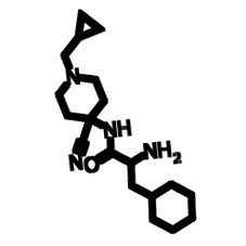 N#CC1(NC(=O)C(N)CC2CCCCC2)CCN(CC2CC2)CC1